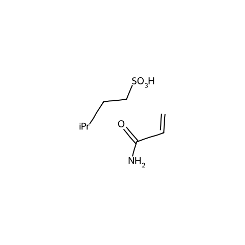 C=CC(N)=O.CC(C)CCS(=O)(=O)O